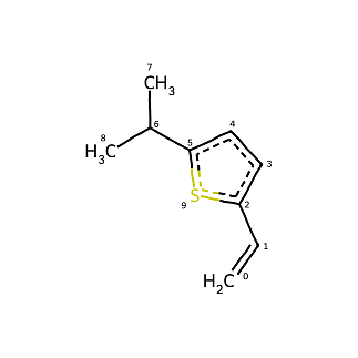 C=Cc1ccc(C(C)C)s1